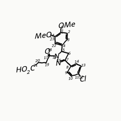 COc1ccc(C2CC(c3ccc(Cl)cc3)=NN2C(=O)CCC(=O)O)cc1OC